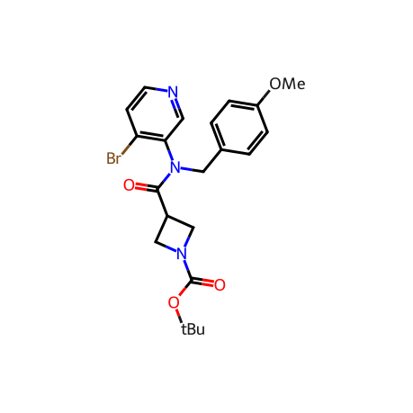 COc1ccc(CN(C(=O)C2CN(C(=O)OC(C)(C)C)C2)c2cnccc2Br)cc1